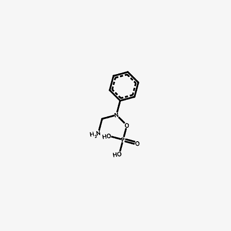 NCN(OP(=O)(O)O)c1ccccc1